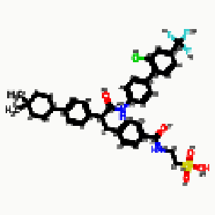 CC1(C)CCC(c2ccc(C(Cc3ccc(C(=O)NCCS(=O)(=O)O)cc3)C(=O)Nc3ccc(-c4ccc(C(F)(F)F)cc4Cl)cc3)cc2)CC1